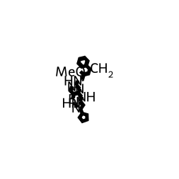 C=C(/C=C(/CNc1ncc(Br)c(Nc2cc(C3CCCC3)n[nH]2)n1)OC)c1ccccc1